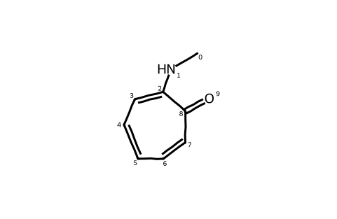 CNc1cccccc1=O